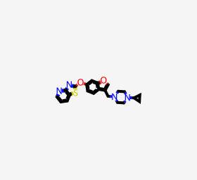 c1cnc2nc(Oc3ccc4c(CN5CCN(C6CC6)CC5)coc4c3)sc2c1